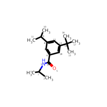 CC(C)NC(=O)c1cc(C(C)C)cc(C(C)(C)C)c1